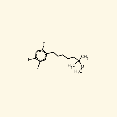 CO[Si](C)(C)CCCCCc1cc(F)c(F)cc1F